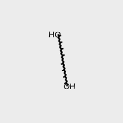 C/C(O)=C\CC/C(C)=C/C=C/C(C)=C/C=C/C(C)=C/C=C/C=C(C)/C=C/C=C(C)/C=C/C=C(\C)CC/C=C(\C)CO